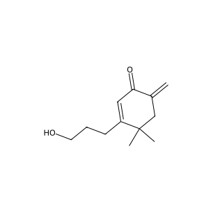 C=C1CC(C)(C)C(CCCO)=CC1=O